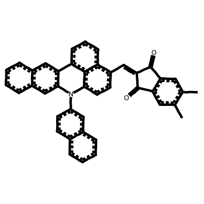 Cc1cc2c(cc1C)C(=O)C(=Cc1ccc3c4c(cccc14)-c1cc4ccccc4cc1N3c1ccc3ccccc3c1)C2=O